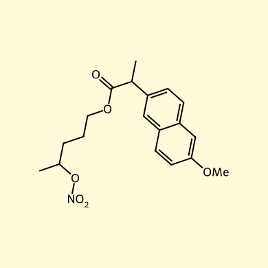 COc1ccc2cc(C(C)C(=O)OCCCC(C)O[N+](=O)[O-])ccc2c1